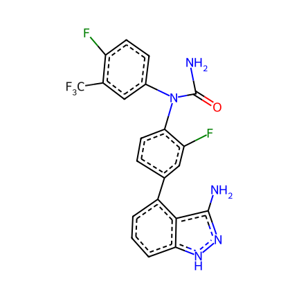 NC(=O)N(c1ccc(F)c(C(F)(F)F)c1)c1ccc(-c2cccc3[nH]nc(N)c23)cc1F